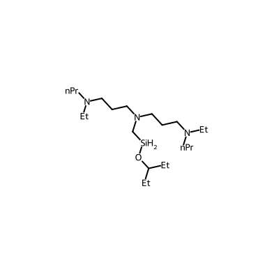 CCCN(CC)CCCN(CCCN(CC)CCC)C[SiH2]OC(CC)CC